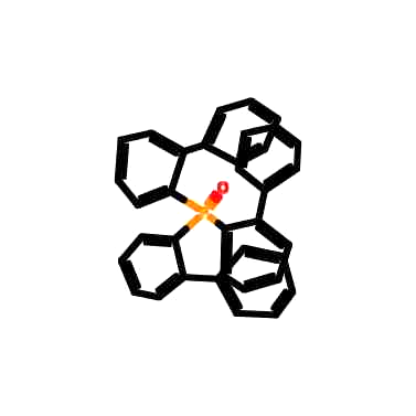 O=P(c1ccccc1-c1ccccc1)(c1ccccc1-c1ccccc1)c1ccccc1-c1ccccc1